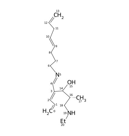 C=C/C=C(/C=N/CCC/C=C/CC=C)C(O)[C@H](C)CNCC